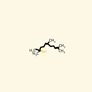 C=CC(C)(S)CCC=C(C)CCC=C(C)C